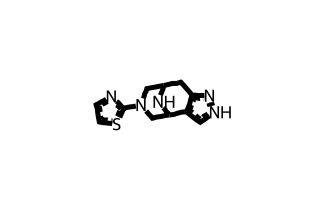 c1csc(N2CC3Cc4n[nH]cc4C(C2)N3)n1